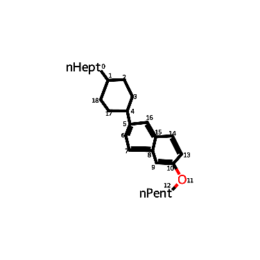 CCCCCCCC1CCC(c2ccc3cc(OCCCCC)ccc3c2)CC1